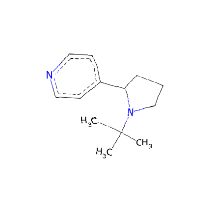 CC(C)(C)N1CCCC1c1ccncc1